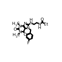 CCC(=O)NCCNc1nc2c(c(=O)n(C)c(=O)n2C)n1Cc1ccc(F)cc1